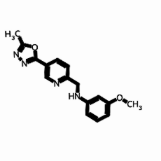 COc1cccc(NCc2ccc(-c3nnc(C)o3)cn2)c1